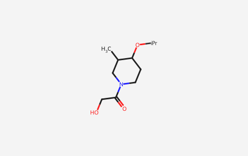 CC(C)OC1CCN(C(=O)CO)CC1C